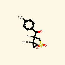 N#CC(C[SH](=O)=O)(C(=O)c1ccc(C(F)(F)F)cc1)C1(C=O)CC1